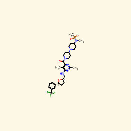 Cc1nc(NC[C@H]2CC[C@H](c3cccc(C(F)(F)F)c3)O2)c(C)c(C(=O)N2CCC(N3CCC(N(C)S(C)(=O)=O)CC3)CC2)n1